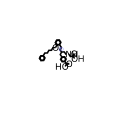 O=C(O)CNCCC(/C=C/c1ccccc1OCCCCCc1ccccc1)Cc1ccc(C(=O)O)cc1